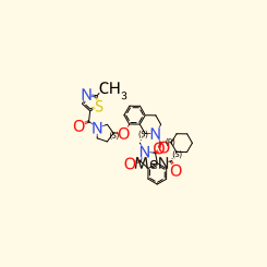 CNC(=O)[C@H]1CCCC[C@H]1C(=O)N1CCc2cccc(O[C@H]3CCN(C(=O)c4cnc(C)s4)C3)c2[C@H]1CN1C(=O)c2ccccc2C1=O